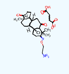 CC1(C)/C(=N/OCCN)CC[C@@]2(C)C1C(=O)C[C@@H]1[C@@H]2CC[C@]2(C)C(=O)CC[C@@H]12.O=C(O)/C=C/C(=O)O